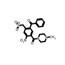 CN1CCN(C(=O)c2cc(C(=O)c3ccccc3)c(C[SH](=O)=O)cc2[N+](=O)[O-])CC1